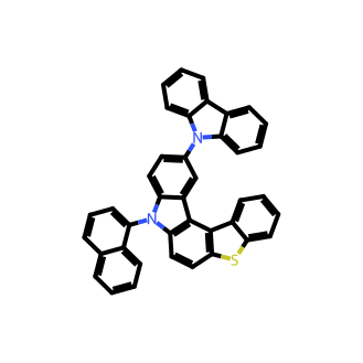 c1ccc2c(-n3c4ccc(-n5c6ccccc6c6ccccc65)cc4c4c5c(ccc43)sc3ccccc35)cccc2c1